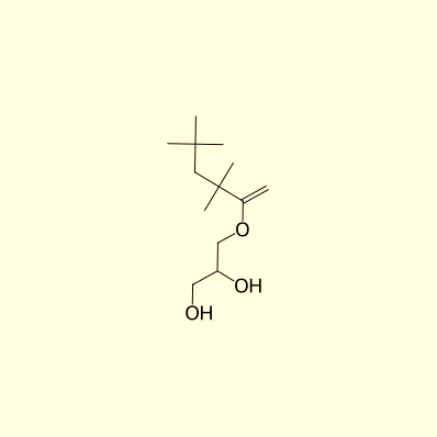 C=C(OCC(O)CO)C(C)(C)CC(C)(C)C